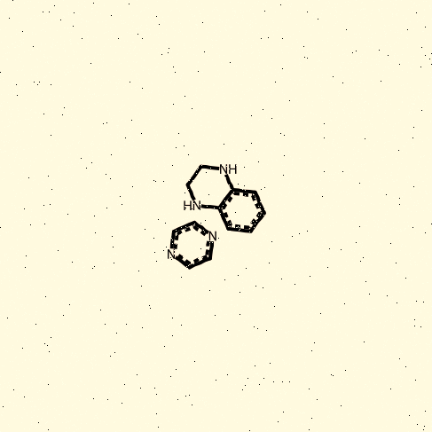 c1ccc2c(c1)NCCN2.c1cnccn1